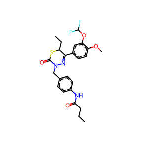 CCCC(=O)Nc1ccc(CN2N=C(c3ccc(OC)c(OC(F)F)c3)C(CC)SC2=O)cc1